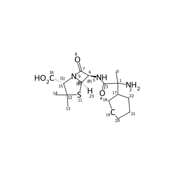 CC(N)(C(=O)N[C@@H]1C(=O)N2[C@@H]1SC(C)(C)[C@@H]2C(=O)O)C1CCCCC1